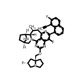 C#Cc1c(F)ccc2cccc(-c3nc4c5c(nc(OC[C@@]67CCCN6C[C@H](F)C7)nc5c3F)N3C[C@H]5CC[C@H](N5)[C@@H]3[C@@H](C)C4)c12